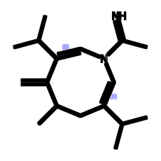 C=C1/C(C(C)C)=C\N(C(C)=N)/C=C(/C(C)C)CC1C